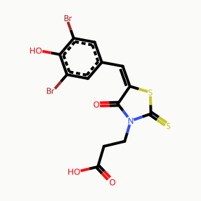 O=C(O)CCN1C(=O)/C(=C\c2cc(Br)c(O)c(Br)c2)SC1=S